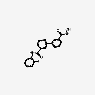 O=C(NO)c1cccc(-c2cccc(C(=O)Nc3ccccc3F)c2)c1